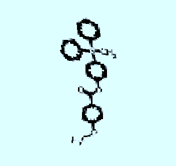 COc1ccc(C(=O)Oc2ccc(S(C)(c3ccccc3)c3ccccc3)cc2)cc1